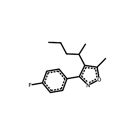 CCCC(C)c1c(-c2ccc(F)cc2)noc1C